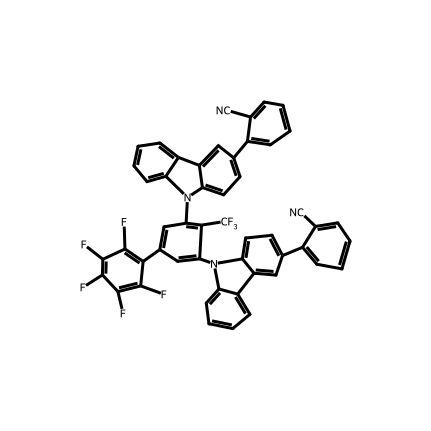 N#Cc1ccccc1-c1ccc2c(c1)c1ccccc1n2-c1cc(-c2c(F)c(F)c(F)c(F)c2F)cc(-n2c3ccccc3c3cc(-c4ccccc4C#N)ccc32)c1C(F)(F)F